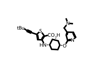 CN(C)Cc1ccnc(O[C@H]2CC[C@@H](Nc3cc(C#CC(C)(C)C)sc3C(=O)O)CC2)c1